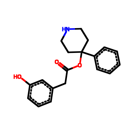 O=C(Cc1cccc(O)c1)OC1(c2ccccc2)CCNCC1